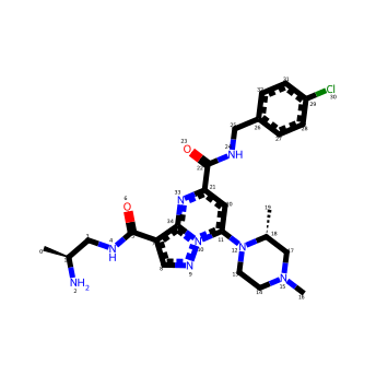 C[C@H](N)CNC(=O)c1cnn2c(N3CCN(C)C[C@H]3C)cc(C(=O)NCc3ccc(Cl)cc3)nc12